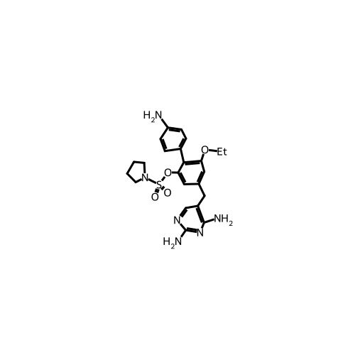 CCOc1cc(Cc2cnc(N)nc2N)cc(OS(=O)(=O)N2CCCC2)c1-c1ccc(N)cc1